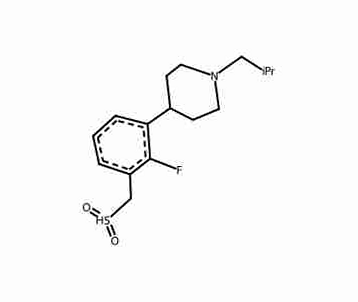 CC(C)CN1CCC(c2cccc(C[SH](=O)=O)c2F)CC1